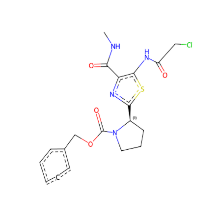 CNC(=O)c1nc([C@H]2CCCN2C(=O)OCc2ccccc2)sc1NC(=O)CCl